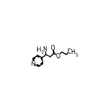 CCCOC(=O)CC(N)c1ccncc1